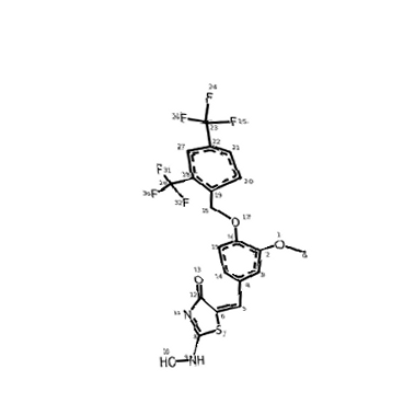 COc1cc(/C=C2/SC(NO)=NC2=O)ccc1OCc1ccc(C(F)(F)F)cc1C(F)(F)F